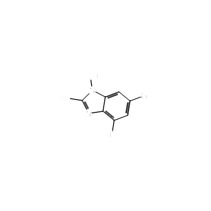 Cn1c(Br)nc2c(F)cc(Br)cc21